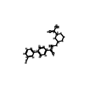 O=C(NCC1CCCN(C(=O)O)C1)c1cnc(-c2cccc(F)c2)nc1